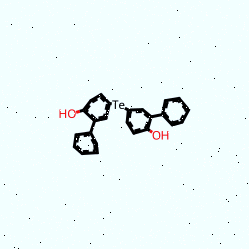 Oc1ccc([Te]c2ccc(O)c(-c3ccccc3)c2)cc1-c1ccccc1